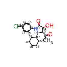 CC(=O)C1=C(O)C(=O)N(c2ccc(Cl)cc2)C1C1CCCCC1